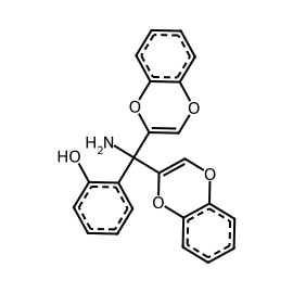 NC(C1=COc2ccccc2O1)(C1=COc2ccccc2O1)c1ccccc1O